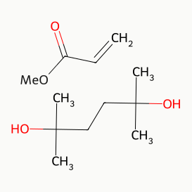 C=CC(=O)OC.CC(C)(O)CCC(C)(C)O